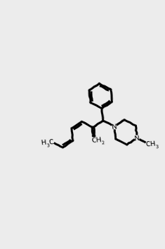 C=C(/C=C\C=C/C)C(c1ccccc1)N1CCN(C)CC1